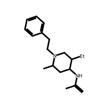 C=C(C)NC1CC(C)N(CCc2ccccc2)CC1CC